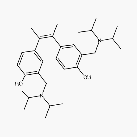 CC(=C(C)c1ccc(O)c(CN(C(C)C)C(C)C)c1)c1ccc(O)c(CN(C(C)C)C(C)C)c1